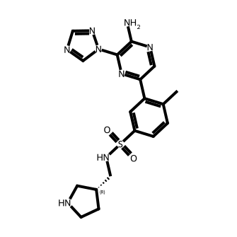 Cc1ccc(S(=O)(=O)NC[C@@H]2CCNC2)cc1-c1cnc(N)c(-n2cncn2)n1